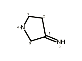 N=C1CC[N]C1